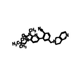 Cn1c(=O)n(CC(C)(C)C)c2ccc(-c3cc(CN4CCc5cnccc5C4)ccc3C#N)nc21